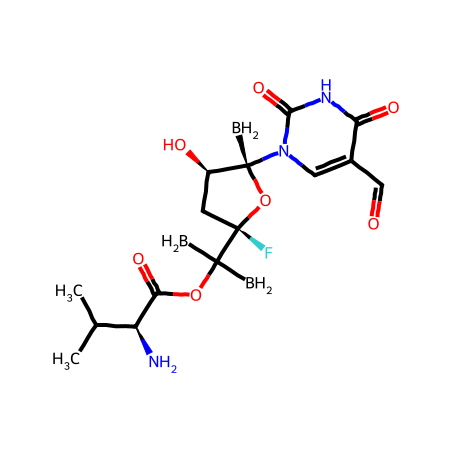 BC(B)(OC(=O)[C@@H](N)C(C)C)[C@]1(F)C[C@@H](O)[C@](B)(n2cc(C=O)c(=O)[nH]c2=O)O1